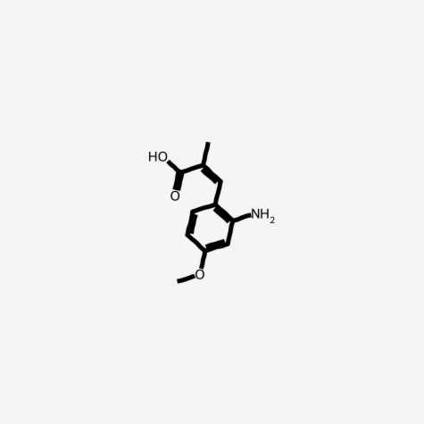 COc1ccc(C=C(C)C(=O)O)c(N)c1